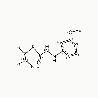 COc1ccnc(NNC(=O)CC(C)N(C)C)c1